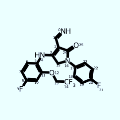 N=CC1=C(Nc2ccc(F)cc2OCC(F)(F)F)CN(c2ccc(F)cc2)C1=O